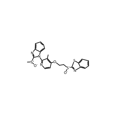 Cc1c(OCC[S+]([O-])c2nc3ccccc3s2)ccnc1-n1c([S+](C)[O-])nc2ccccc21